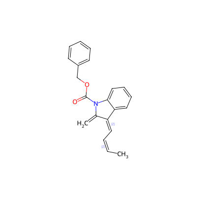 C=c1/c(=C\C=C/C)c2ccccc2n1C(=O)OCc1ccccc1